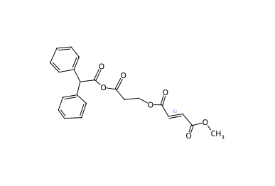 COC(=O)/C=C/C(=O)OCCC(=O)OC(=O)C(c1ccccc1)c1ccccc1